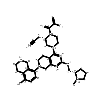 C=C(F)C(=O)N1CCN(c2nc(OC[C@@H]3CCCN3C)nc3c2CCN(c2ccc(F)c4c2COCC4)C3)C[C@@H]1CC#N